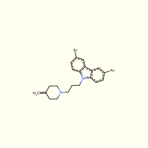 C=C1CCN(CCCn2c3ccc(C(C)=O)cc3c3cc(C(C)=O)ccc32)CC1